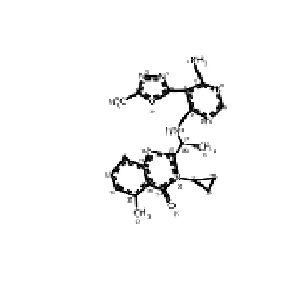 Cc1nnc(-c2c(N)ncnc2N[C@@H](C)c2nc3cccc(C)c3c(=O)n2C2CC2)o1